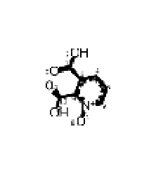 O=C(O)c1ccc[n+]([O-])c1C(=O)O